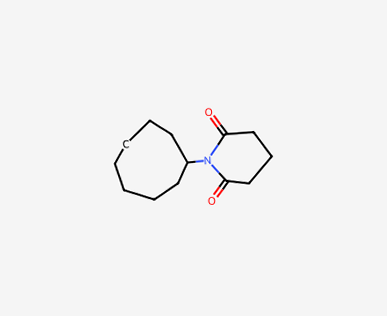 O=C1CCCC(=O)N1C1CCCCCCC1